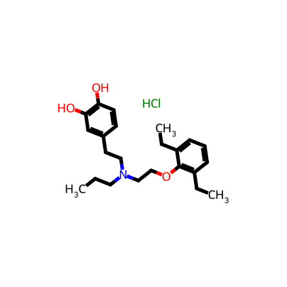 CCCN(CCOc1c(CC)cccc1CC)CCc1ccc(O)c(O)c1.Cl